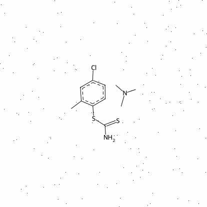 CN(C)C.Cc1cc(Cl)ccc1SC(N)=S